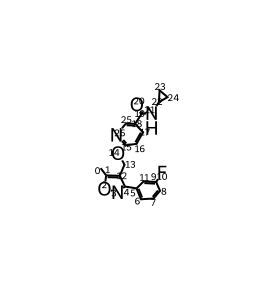 Cc1onc(-c2cccc(F)c2)c1COc1ccc(C(=O)NC2CC2)cn1